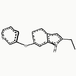 CCc1[c]c2ccc(Oc3cccnc3)cc2[nH]1